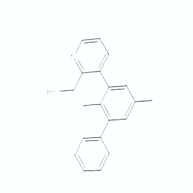 Cc1cc(-c2ccccc2)c(C)c(-c2cccnc2CO)c1